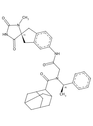 C[C@H](c1ccccc1)N(CC(=O)Nc1ccc2c(c1)C[C@@]1(C2)C(=O)NC(=O)N1C)C(=O)C1C2CC3CC(C2)CC1C3